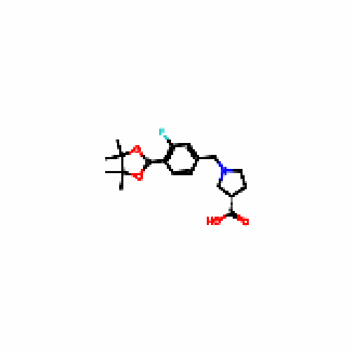 CC1(C)OB(c2ccc(CN3CC[C@H](C(=O)O)C3)cc2F)OC1(C)C